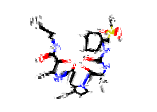 C=CCNC(=O)C(=O)C(CCC)NC(=O)C1C(C(C)(C)C)CCN1C(=O)[C@@H](NC(=O)NC1(CS(=O)(=O)CC)CCCCC1)C(C)(C)C